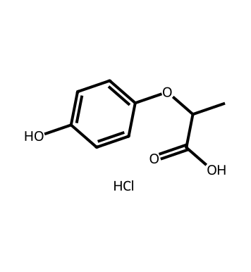 CC(Oc1ccc(O)cc1)C(=O)O.Cl